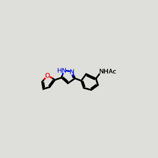 CC(=O)Nc1cccc(-c2cc(-c3ccco3)[nH]n2)c1